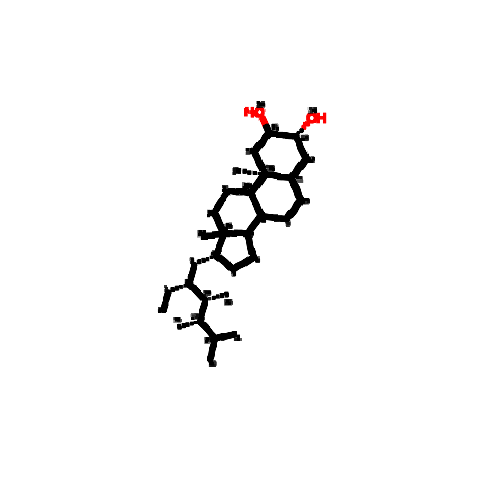 CC[C@H](C[C@H]1CCC2C3CCC4C[C@@H](O)C(O)C[C@]4(C)C3CCC21C)[C@H](C)[C@@H](C)C(C)C